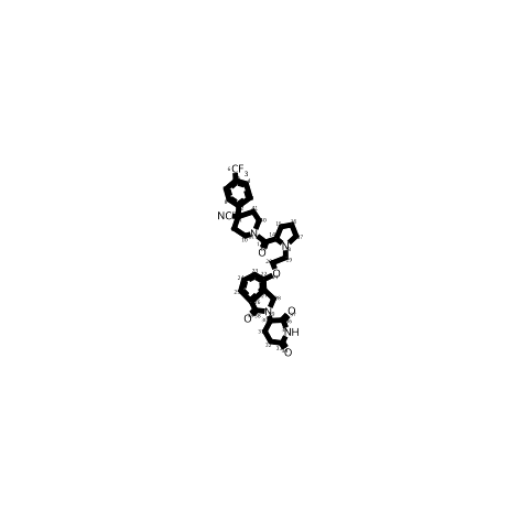 N#CC1(c2ccc(C(F)(F)F)cc2)CCN(C(=O)C2CCCN2CCOc2cccc3c2CN(C2CCC(=O)NC2=O)C3=O)CC1